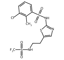 Cc1c(Cl)cccc1S(=O)(=O)Nc1ncc(CCNS(=O)(=O)C(F)(F)F)s1